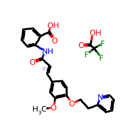 COc1cc(/C=C/C(=O)Nc2ccccc2C(=O)O)ccc1OCCc1ccccn1.O=C(O)C(F)(F)F